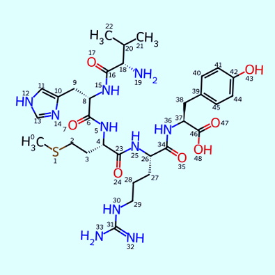 CSCC[C@H](NC(=O)[C@H](Cc1c[nH]cn1)NC(=O)[C@@H](N)C(C)C)C(=O)N[C@@H](CCCNC(=N)N)C(=O)N[C@@H](Cc1ccc(O)cc1)C(=O)O